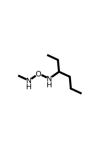 CCCC(CC)NONC